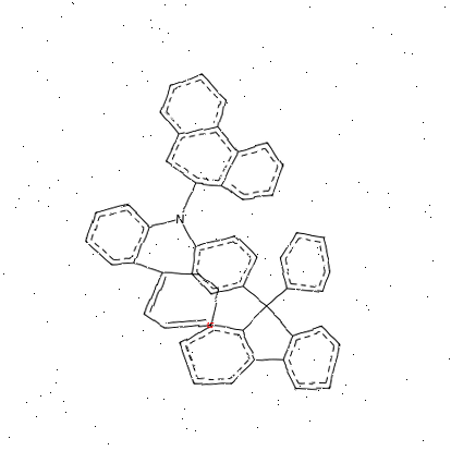 C1=CCCC(c2ccccc2N(c2ccc(C3(c4ccccc4)c4ccccc4-c4ccccc43)cc2)c2cc3ccccc3c3ccccc23)=C1